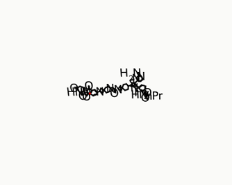 CCCS(=O)(=O)Nc1cccc(-c2nc(C3CCC4(CC3)CN(C(=O)CN3CCC5(CC3)CN(c3ccc6c(c3)C(=O)N([C@@H]3CCC(=O)NC3=O)C6=O)C5)C4)sc2-c2ccnc(N)n2)c1F